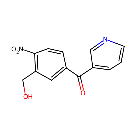 O=C(c1cccnc1)c1ccc([N+](=O)[O-])c(CO)c1